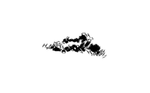 Cc1cn(CCCCCC(=O)N2CCN(C(=O)O)CC2)cn1.N=C(N)Nc1ccc(CNC(=O)N2CCN(C(=O)O[C@H]3CCC[C@@H](OC(=O)N4CCN(C(=O)NCc5ccc(NC(=N)N)cc5)CC4)CCC3)CC2)cc1